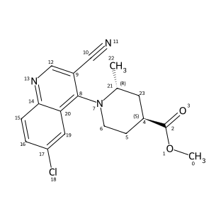 COC(=O)[C@H]1CCN(c2c(C#N)cnc3ccc(Cl)cc23)[C@H](C)C1